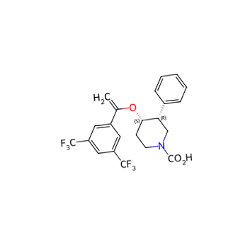 C=C(O[C@H]1CCN(C(=O)O)C[C@H]1c1ccccc1)c1cc(C(F)(F)F)cc(C(F)(F)F)c1